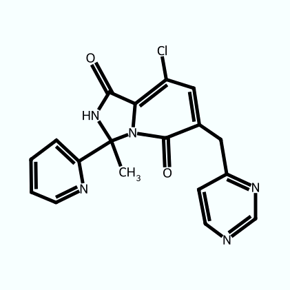 CC1(c2ccccn2)NC(=O)c2c(Cl)cc(Cc3ccncn3)c(=O)n21